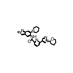 Cn1cc2cc(NC(=O)c3cccc(-c4cnn(C5CCCCO5)c4)n3)c(N3CCCCC3)cc2n1